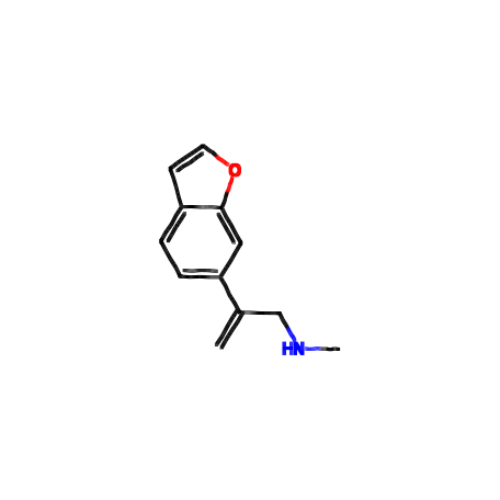 C=C(CNC)c1ccc2ccoc2c1